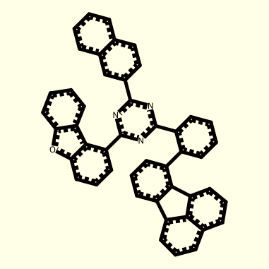 c1ccc(-c2cccc3c2-c2cccc4cccc-3c24)c(-c2nc(-c3ccc4ccccc4c3)nc(-c3cccc4oc5ccccc5c34)n2)c1